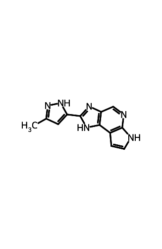 Cc1cc(-c2nc3cnc4[nH]ccc4c3[nH]2)[nH]n1